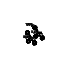 C[N+](C)(Cc1ccccc1)c1ccccc1Cc1ccccc1.C[N+](C)(Cc1ccccc1)c1ccccc1Cc1ccccc1.O=C([O-])[O-]